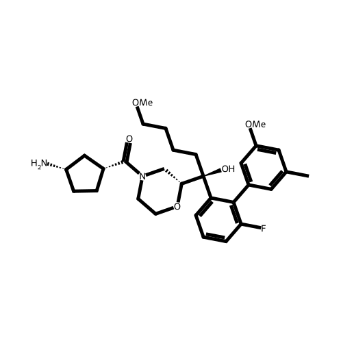 COCCCC[C@](O)(c1cccc(F)c1-c1cc(C)cc(OC)c1)[C@H]1CN(C(=O)[C@@H]2CC[C@H](N)C2)CCO1